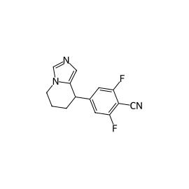 N#Cc1c(F)cc(C2CCCn3cncc32)cc1F